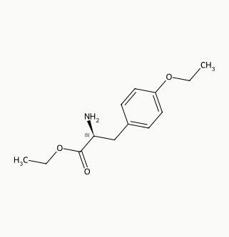 CCOC(=O)[C@@H](N)Cc1ccc(OCC)cc1